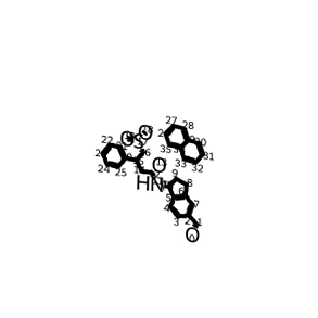 O=Cc1ccc2c(c1)CC[C@H]2NC(=O)CC(C=S(=O)=O)c1ccccc1.c1ccc2ccccc2c1